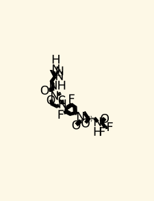 O=C(NC[C@H]1CN(c2cc(F)c(N3CCON(C(=O)NCc4c[nH]nn4)CC3)c(F)c2)C(=O)O1)C(F)F